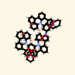 c1ccc(-c2cccc(-c3ccccc3)c2N2c3ccccc3B3c4cc5c(cc4Nc4cc(N6C7CCCC6CCC7)cc2c43)N(c2c(-c3ccccc3)cccc2-c2ccccc2)c2cc(N3C4CCCC3CCC4)cc3c2B5c2ccccc2N3c2c(-c3ccccc3)cccc2-c2ccccc2)cc1